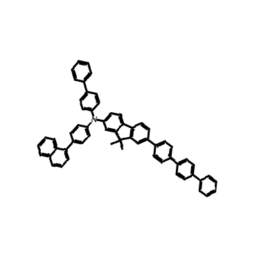 CC1(C)c2cc(-c3ccc(-c4ccc(-c5ccccc5)cc4)cc3)ccc2-c2ccc(N(c3ccc(-c4ccccc4)cc3)c3ccc(-c4cccc5ccccc45)cc3)cc21